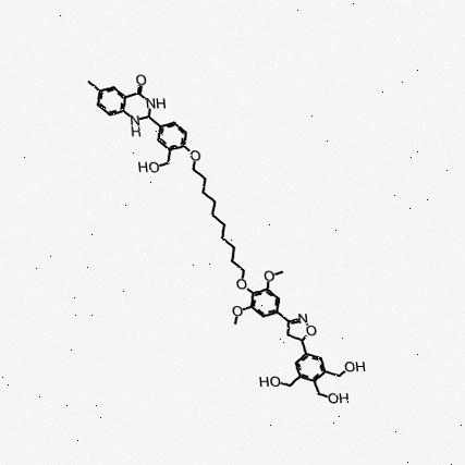 COc1cc(C2=NOC(c3cc(CO)c(CO)c(CO)c3)C2)cc(OC)c1OCCCCCCCCCCOc1ccc(C2NC(=O)c3cc(C)ccc3N2)cc1CO